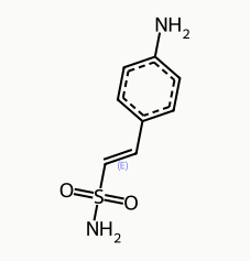 Nc1ccc(/C=C/S(N)(=O)=O)cc1